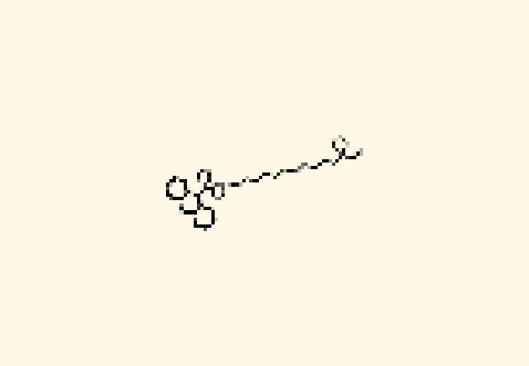 C=CC(=O)CCCCCCCCCCCCOC(=O)c1c2ccccc2cc2ccccc12